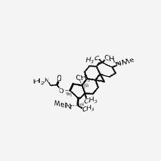 CNC1CCC23CC24CCC2(C)C([C@H](C)NC)[C@H](OC(=O)CN)C[C@@]2(C)C4CCC3C1(C)C